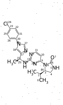 CC(C)[C@@H]1CNC(=O)N1c1ccnc(N[C@@H](C)c2cn(-c3ccc(Cl)cc3)cn2)n1